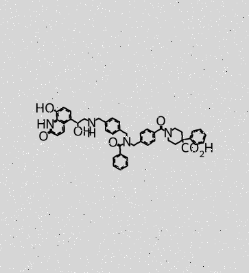 O=C(c1ccc(CN(Cc2ccc(CNCC(O)c3ccc(O)c4[nH]c(=O)ccc34)cc2)C(=O)c2ccccc2)cc1)N1CCC(C(=O)O)(c2ccccc2)CC1